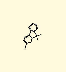 CC1(C)c2ccccc2C2=CC=C(I)CC21